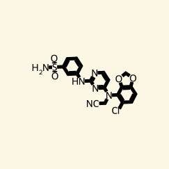 N#CCN(c1ccnc(Nc2cccc(S(N)(=O)=O)c2)n1)c1c(Cl)ccc2c1OCO2